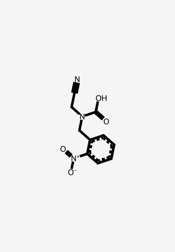 N#CCN(Cc1ccccc1[N+](=O)[O-])C(=O)O